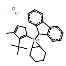 CC1=CC[C]([Zr+2]2([CH]3c4ccccc4-c4ccccc43)[CH]3CCCC[CH]32)=C1C(C)(C)C.[Cl-].[Cl-]